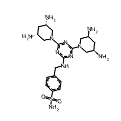 N[C@@H]1C[C@H](N)CN(c2nc(NCc3ccc(S(N)(=O)=O)cc3)nc(N3C[C@H](N)C[C@H](N)C3)n2)C1